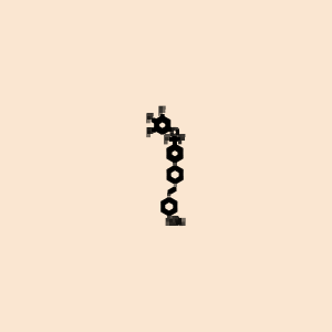 CCCC[C@H]1CC[C@H](CC[C@H]2CC[C@H](c3ccc(C(F)(F)Oc4cc(F)c(F)c(F)c4)cc3)CC2)CC1